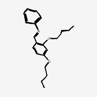 CCCCOc1ccc(/C=N/c2ccccc2)c(OCCCC)c1